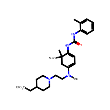 CCOC(=O)CC1CCN(CCN(C(C)=O)C2=CC=C(NC(=O)Nc3ccccc3C)C(C)(OC)C2)CC1